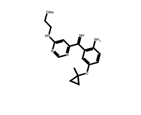 COCCNc1cc(C(=N)c2cc(OC3(C)CC3)ccc2N)ncn1